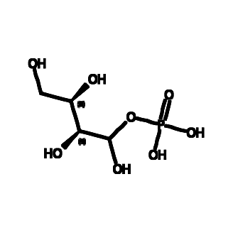 O=P(O)(O)OC(O)[C@@H](O)[C@H](O)CO